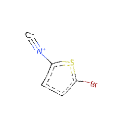 [C-]#[N+]c1ccc(Br)s1